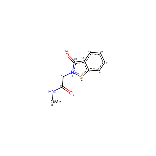 CONC(=O)Cn1sc2ccccc2c1=O